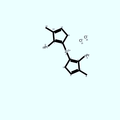 CCCC1=[C]([Zr+2][C]2=C(CCC)C(C)=CC2)CC=C1C.[Cl-].[Cl-]